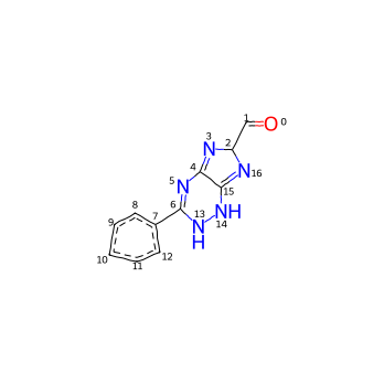 O=CC1N=C2N=C(c3ccccc3)NNC2=N1